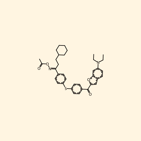 CCN(CC)c1ccc2cc(C(=O)c3ccc(Sc4ccc(C(CCC5CCCCC5)=NOC(C)=O)cc4)cc3)oc2c1